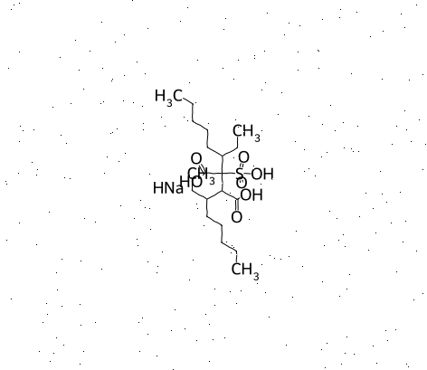 CCCCCC(CC)C(C(=O)O)C(C(=O)O)(C(CC)CCCCC)S(=O)(=O)O.[NaH]